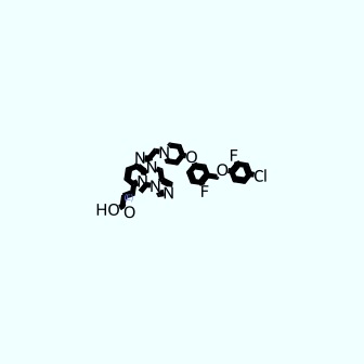 CCn1cncc1Cn1c(CN2CCC(Oc3ccc(F)c(COc4ccc(Cl)cc4F)c3)CC2)nc2ccc(/C=C/C(=O)O)nc21